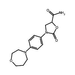 NC(=O)C1CN(c2ccc(N3CCCOCC3)cc2)C(=O)O1